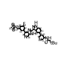 CC(C)(C)CC(=O)Nc1cncc(-c2ccc3[nH]nc(-c4nc5c(-c6cc(F)cc(CNS(C)(=O)=O)c6)cncc5[nH]4)c3c2)c1